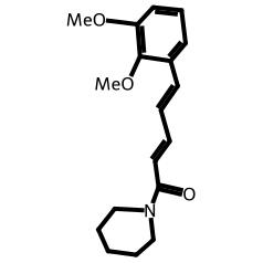 COc1cccc(C=CC=CC(=O)N2CCCCC2)c1OC